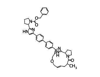 CC1C/C=C/COCc2[nH]c(nc2-c2ccc(-c3ccc(-c4c[nH]c(C5CCCN5C(=O)OCc5ccccc5)n4)cc3)cc2)C2CCCN2C1=O